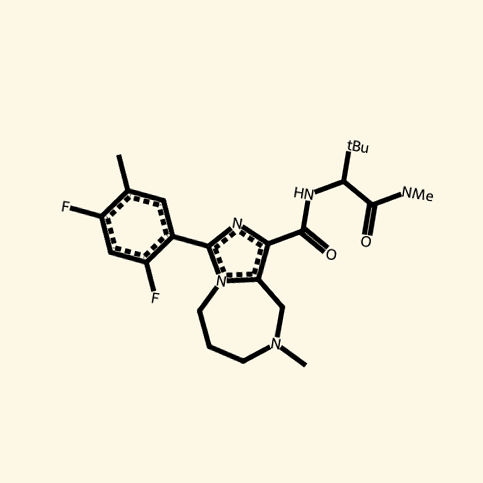 CNC(=O)C(NC(=O)c1nc(-c2cc(C)c(F)cc2F)n2c1CN(C)CCC2)C(C)(C)C